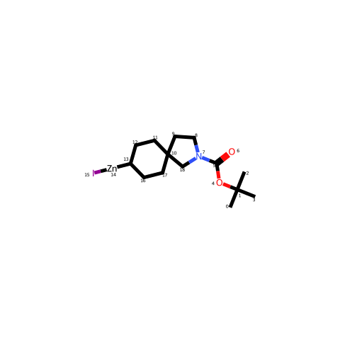 CC(C)(C)OC(=O)N1CCC2(CC[CH]([Zn][I])CC2)C1